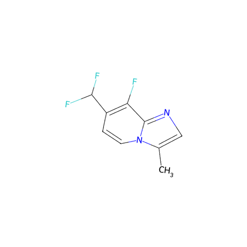 Cc1cnc2c(F)c(C(F)F)ccn12